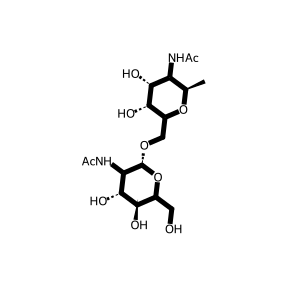 CC(=O)NC1[C@H](OCC2O[C@H](C)C(NC(C)=O)[C@@H](O)[C@H]2O)OC(CO)[C@@H](O)[C@@H]1O